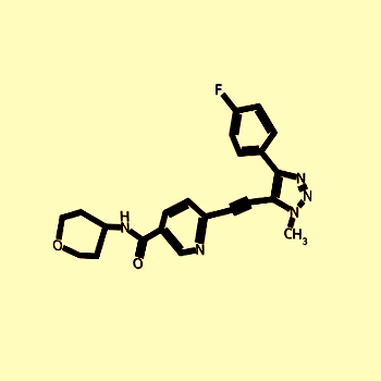 Cn1nnc(-c2ccc(F)cc2)c1C#Cc1ccc(C(=O)NC2CCOCC2)cn1